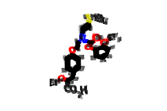 CCCCSCCN(CCOc1ccc(CC(OCC)C(=O)O)cc1)C(=O)Oc1ccccc1OC(F)(F)F